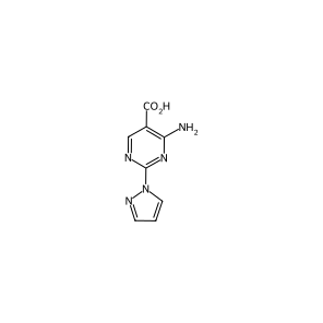 Nc1nc(-n2cccn2)ncc1C(=O)O